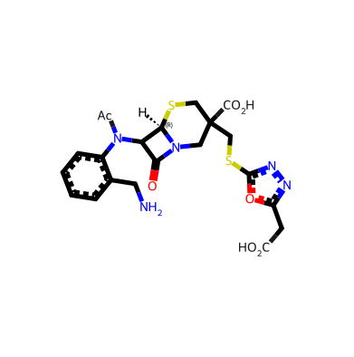 CC(=O)N(c1ccccc1CN)C1C(=O)N2CC(CSc3nnc(CC(=O)O)o3)(C(=O)O)CS[C@H]12